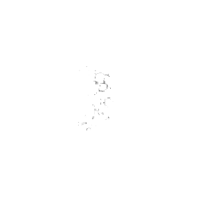 O=C(c1nc2c(C(F)(F)F)cc(C3CC3)cn2c1Cl)N1CCN(C2C[C@@H](O)[C@H](F)C2)C(=O)C1